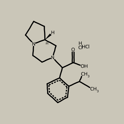 CC(C)c1ccccc1C(C(=O)O)N1CCN2CCC[C@@H]2C1.Cl.Cl